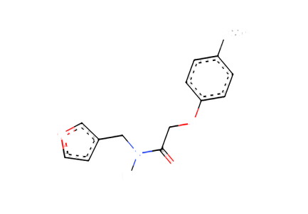 CCN(Cc1ccoc1)C(=O)COc1ccc(OC)cc1